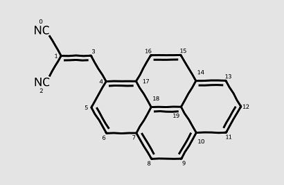 N#CC(C#N)=Cc1ccc2ccc3cccc4ccc1c2c34